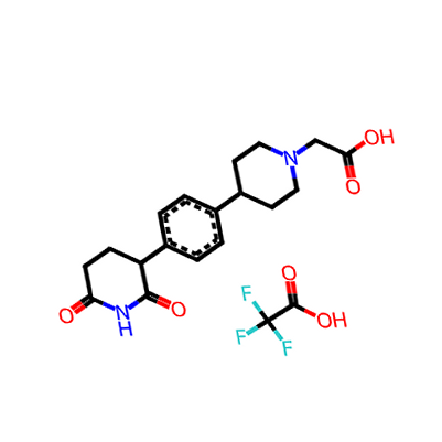 O=C(O)C(F)(F)F.O=C(O)CN1CCC(c2ccc(C3CCC(=O)NC3=O)cc2)CC1